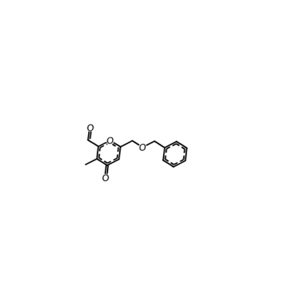 Cc1c(C=O)oc(COCc2ccccc2)cc1=O